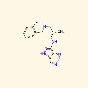 CC(CNc1n[nH]c2cncnc12)CN1CCc2ccccc2C1